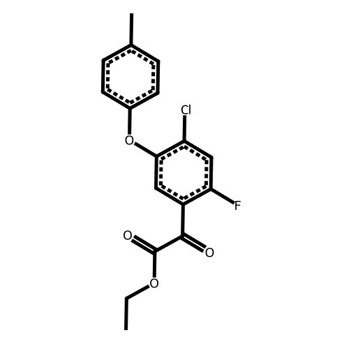 CCOC(=O)C(=O)c1cc(Oc2ccc(C)cc2)c(Cl)cc1F